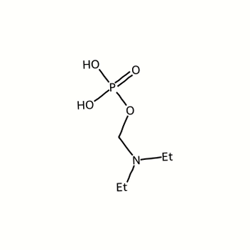 CCN(CC)COP(=O)(O)O